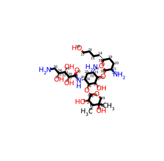 C[C@@H]1C(O)[C@@H](OC2C(O)C(O[C@H]3O[C@H](CCCCO)CCC3N)[C@@H](N)C[C@H]2NC(=O)[C@@H](O)[C@@H](O)[C@@H](O)CN)OCC1(C)O